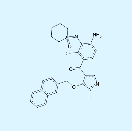 Cn1ncc(C(=O)c2ccc(N)c(N=S3(=O)CCCCC3)c2Cl)c1OCc1ccc2ccccc2c1